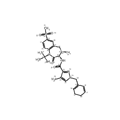 BC(B)(B)N1C(=O)[C@H](NC(=O)c2nn(CC3=CCCC=C3)cc2P)[C@H](C)Cc2cc(S(C)(=O)=O)ccc21